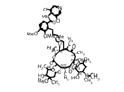 COCO[C@@]1(C)C(CSCCCc2c(C(=O)Nc3c(Cl)cncc3Cl)ccc(OC)c2OC)C(C)C(=O)[C@H](C)C[C@@](C)(OC)[C@H](O[C@@H]2OC(C)CC(N(C)C)[C@H]2O)[C@@H](C)[C@H](O[C@H]2CC(C)(OC)[C@@H](O)C(C)O2)C(C)C(=O)O[C@@H]1I